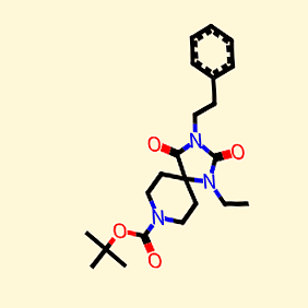 CCN1C(=O)N(CCc2ccccc2)C(=O)C12CCN(C(=O)OC(C)(C)C)CC2